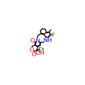 CC[C@@]1(O)C(=O)OCc2c1cc1n(c2=O)CCC2=C3C(=C(C)C(F)=CC3NC1)CCC2